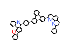 C1=CC2N=C(c3ccc(-c4ccc5c6ccc(-c7ccc8ccc9c(c8n7)N=C(c7ccccc7)CC9)cc6c6ccccc6c5c4)cc3)c3ccc4c(oc5ccccc54)c3C2C=C1